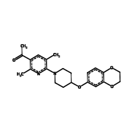 CC(=O)c1cc(C)c(N2CCC(Oc3ccc4c(c3)OCCO4)CC2)nc1C